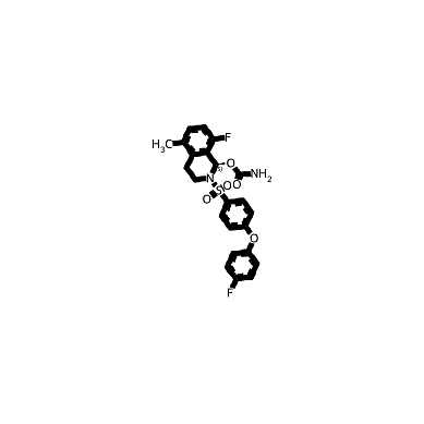 Cc1ccc(F)c2c1CCN(S(=O)(=O)c1ccc(Oc3ccc(F)cc3)cc1)[C@H]2OC(N)=O